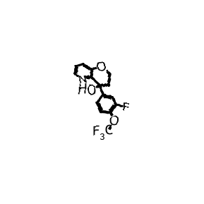 OC1(c2ccc(OC(F)(F)F)c(F)c2)CCOc2cccnc21